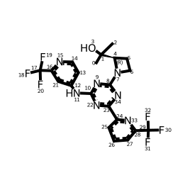 CC(C)(O)[C@H]1CCN1c1nc(Nc2ccnc(C(F)(F)F)c2)nc(-c2cccc(C(F)(F)F)n2)n1